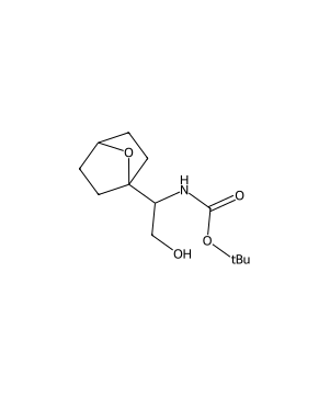 CC(C)(C)OC(=O)NC(CO)C12CCC(CC1)O2